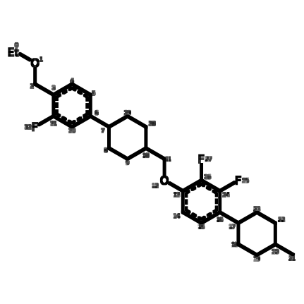 CCOCc1ccc(C2CCC(COc3ccc(C4CCC(C)CC4)c(F)c3F)CC2)cc1F